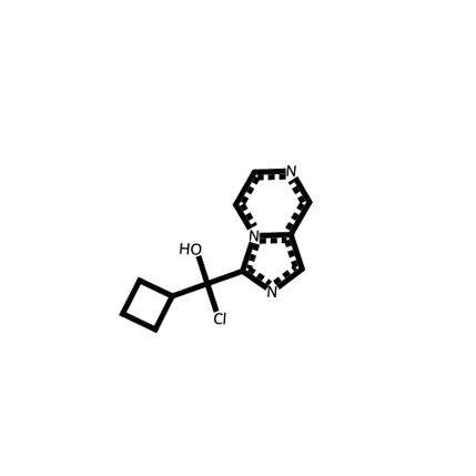 OC(Cl)(c1ncc2cnccn12)C1CCC1